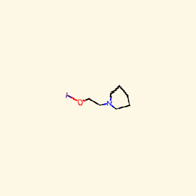 IOCCN1CCCCC1